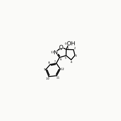 OC12CCCC1C(c1ccccc1)=NO2